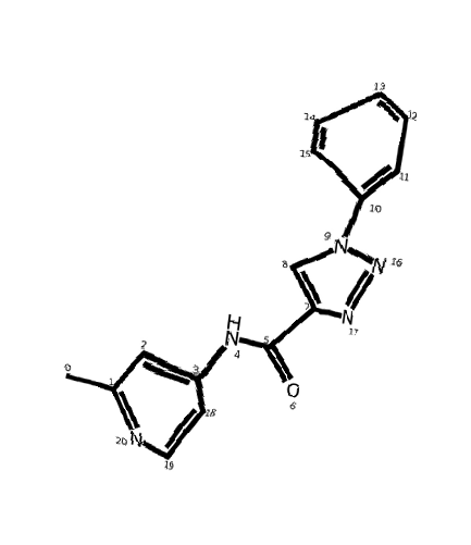 Cc1cc(NC(=O)c2cn(-c3ccccc3)nn2)ccn1